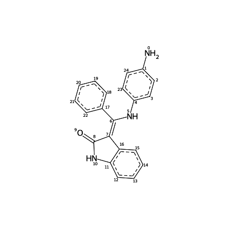 Nc1ccc(NC(=C2C(=O)Nc3ccccc32)c2ccccc2)cc1